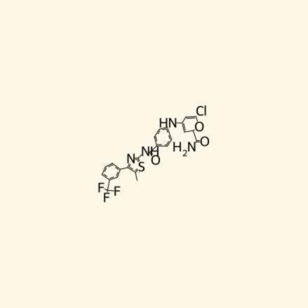 Cc1sc(NC(=O)c2ccc(NC3=CC(C(N)=O)OC(Cl)=C3)cc2)nc1-c1cccc(C(F)(F)F)c1